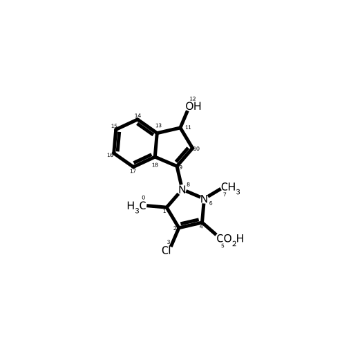 CC1C(Cl)=C(C(=O)O)N(C)N1C1=CC(O)c2ccccc21